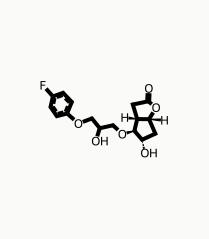 O=C1C[C@H]2[C@H](OCC(O)COc3ccc(F)cc3)[C@@H](O)C[C@H]2O1